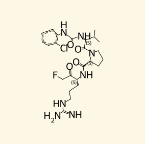 CC(C)[C@H](NC(=O)Nc1ccccc1Cl)C(=O)N1CCC[C@H]1C(=O)N[C@@H](CCCNC(=N)N)C(=O)CF